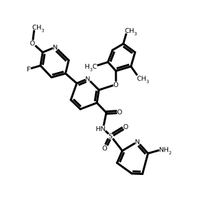 COc1ncc(-c2ccc(C(=O)NS(=O)(=O)c3cccc(N)n3)c(Oc3c(C)cc(C)cc3C)n2)cc1F